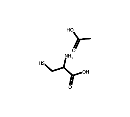 CC(=O)O.NC(CS)C(=O)O